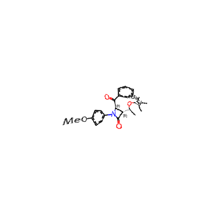 COc1ccc(N2C(=O)[C@@H](C(C)O[Si](C)(C)C(C)(C)C)[C@@H]2C(=O)c2ccccc2)cc1